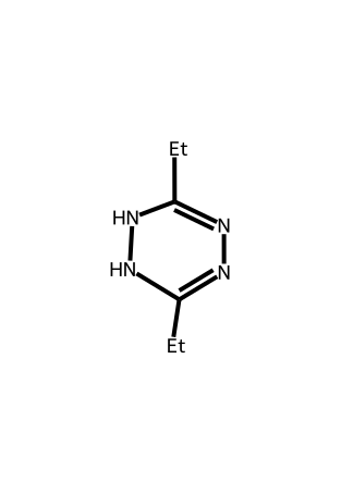 CCC1=NN=C(CC)NN1